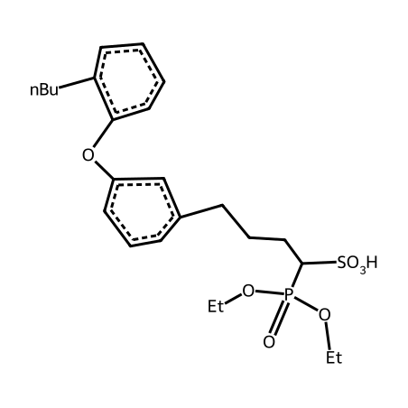 CCCCc1ccccc1Oc1cccc(CCCC(P(=O)(OCC)OCC)S(=O)(=O)O)c1